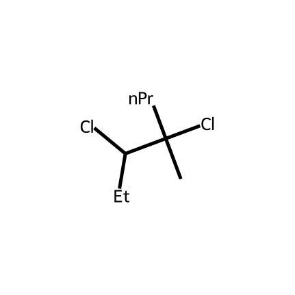 CCCC(C)(Cl)C(Cl)CC